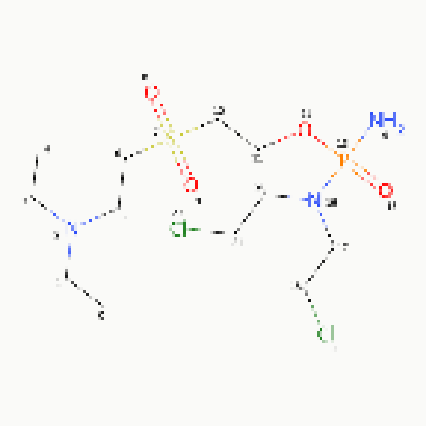 CCN(CC)CCS(=O)(=O)CCOP(N)(=O)N(CCCl)CCCl